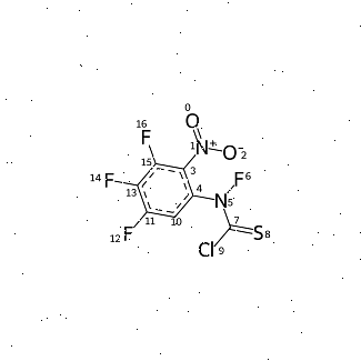 O=[N+]([O-])c1c(N(F)C(=S)Cl)cc(F)c(F)c1F